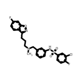 CN(CCCc1noc2cc(F)ccc12)Cc1cccc(NS(=O)(=O)c2ccc(F)c(Cl)c2)c1